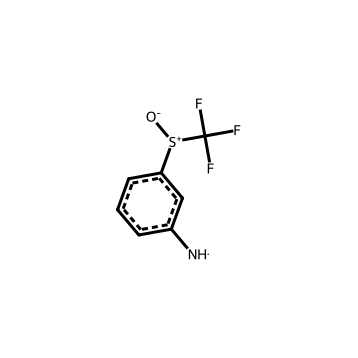 [NH]c1cccc([S+]([O-])C(F)(F)F)c1